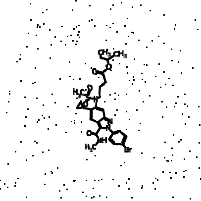 CCC(C)OC(=O)CCCN(c1cc2nn(-c3ccc(Br)cc3)c(C(=O)NC)c2cc1C1CC1)S(C)(=O)=O